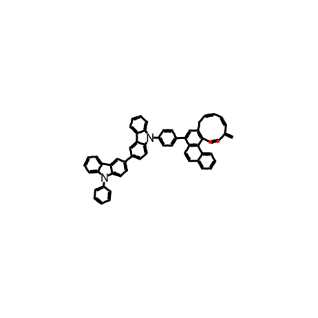 C=C1/C=C\C=C/Cc2cc(-c3ccc(-n4c5ccccc5c5cc(-c6ccc7c(c6)c6ccccc6n7-c6ccccc6)ccc54)cc3)c3ccc4ccccc4c3c2-c2ccccc21